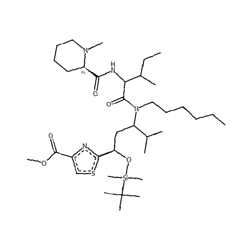 CCCCCCN(C(=O)C(NC(=O)[C@H]1CCCCN1C)C(C)CC)C(CC(O[Si](C)(C)C(C)(C)C)c1nc(C(=O)OC)cs1)C(C)C